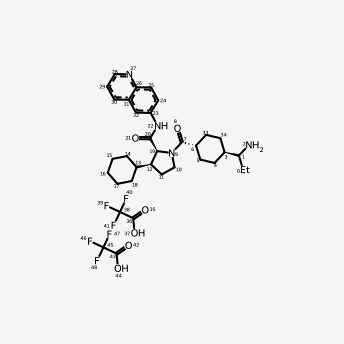 CCC(N)[C@H]1CC[C@H](C(=O)N2CC[C@@H](C3CCCCC3)[C@H]2C(=O)Nc2ccc3ncccc3c2)CC1.O=C(O)C(F)(F)F.O=C(O)C(F)(F)F